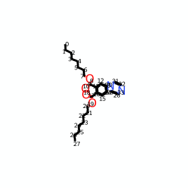 CCCCCCCCOC(=O)c1ccccc1C(=O)OCCCCCCCC.c1cnccn1